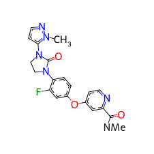 CNC(=O)c1cc(Oc2ccc(N3CCN(c4ccnn4C)C3=O)c(F)c2)ccn1